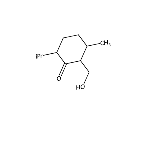 CC(C)C1CCC(C)C(CO)C1=O